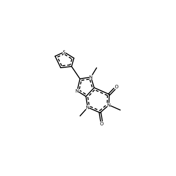 Cn1c(=O)c2c(nc(-c3ccsc3)n2C)n(C)c1=O